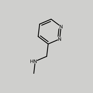 CNCc1cccnn1